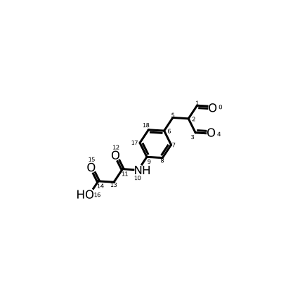 O=CC(C=O)Cc1ccc(NC(=O)CC(=O)O)cc1